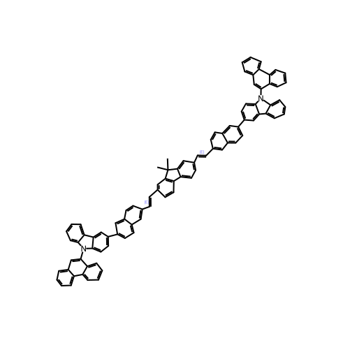 CC1(C)c2cc(/C=C/c3ccc4cc(-c5ccc6c(c5)c5ccccc5n6-c5cc6ccccc6c6ccccc56)ccc4c3)ccc2-c2ccc(/C=C/c3ccc4cc(-c5ccc6c(c5)c5ccccc5n6-c5cc6ccccc6c6ccccc56)ccc4c3)cc21